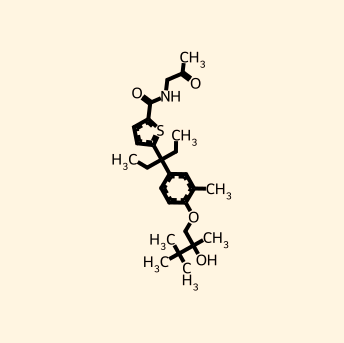 CCC(CC)(c1ccc(OCC(C)(O)C(C)(C)C)c(C)c1)c1ccc(C(=O)NCC(C)=O)s1